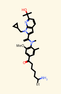 C=C(c1cc2ccc(C(C)(C)O)nc2n1CC1CC1)N(C)c1c(C)cc(C(=O)CCCCC(N)CC)cc1OC